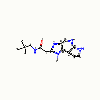 Cn1c(CC(=O)NCC(C)(C)C)nc2cnc3[nH]ccc3c21